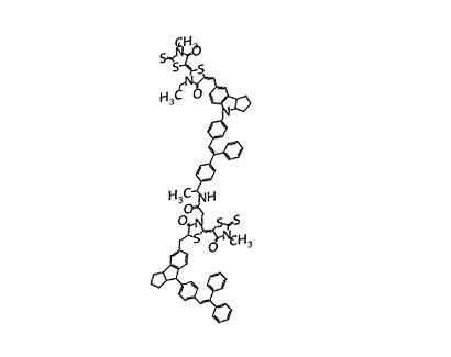 CCn1c(=O)/c(=C\c2ccc3c(c2)C2CCCC2N3c2ccc(/C=C(\c3ccccc3)c3ccc(C(C)NC(=O)CN4C(=O)C(Cc5ccc6c(c5)C5CCCC5C6c5ccc(C=C(c6ccccc6)c6ccccc6)cc5)S/C4=C4/SC(=S)N(C)C4=O)cc3)cc2)s/c1=C1/SC(=S)N(C)C1=O